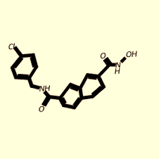 O=C(NO)c1ccc2ccc(C(=O)NCc3ccc(Cl)cc3)cc2c1